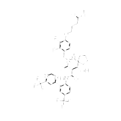 COC(=O)CCCOc1ccc(CN2C(=O)C(C(=O)Nc3ccc(C(F)(F)F)cc3-c3cc(C(F)(F)F)ncn3)=C(O)C3(CCCC3)N2C)c(F)c1F